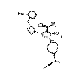 CC#CC(=O)N1CCC[C@H](n2nc(-c3cnn(Cc4ccccc4C#N)c3)c(C(N)=O)c2N)CC1